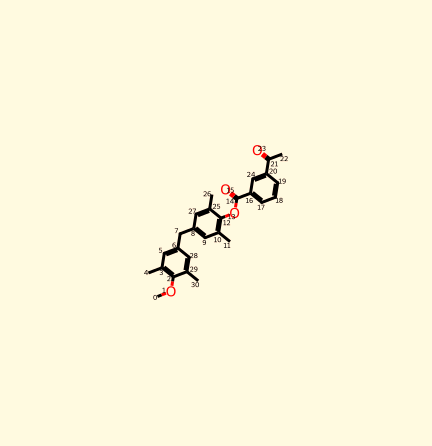 COc1c(C)cc(Cc2cc(C)c(OC(=O)c3cccc(C(C)=O)c3)c(C)c2)cc1C